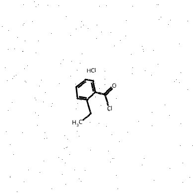 CCc1ccccc1C(=O)Cl.Cl